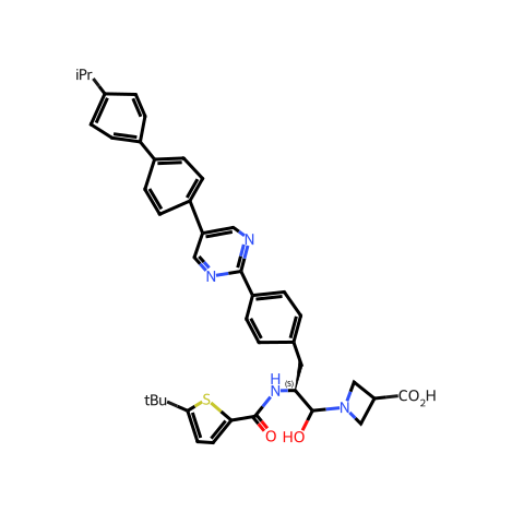 CC(C)c1ccc(-c2ccc(-c3cnc(-c4ccc(C[C@H](NC(=O)c5ccc(C(C)(C)C)s5)C(O)N5CC(C(=O)O)C5)cc4)nc3)cc2)cc1